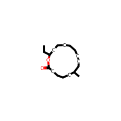 CCC1CCCCCCCCC(C)CCCCC(=O)O1